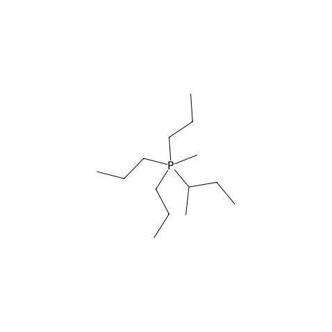 CCCP(C)(CCC)(CCC)C(C)CC